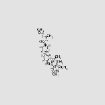 COCCN(C)CC(=O)N1CCC(c2ccc3[nH]c(-c4cc(C)nc(C)c4)c(C(C)C)c3c2)CC1